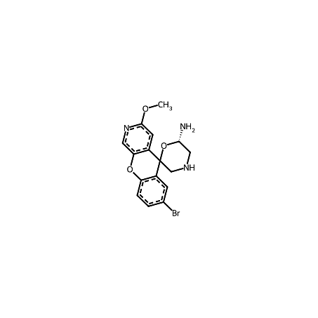 COc1cc2c(cn1)Oc1ccc(Br)cc1C21CNC[C@@H](N)O1